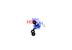 Nc1ccc(-c2nn(CCC3CCc4ccccc4C3)c3ncnc(N)c23)cc1O